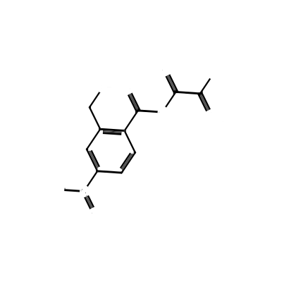 C=C(C)C(=O)OC(=O)c1ccc([N+](=O)[O-])cc1CC